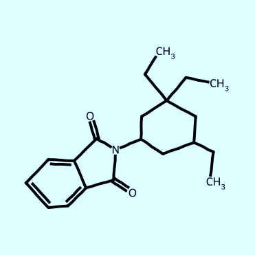 CCC1CC(N2C(=O)c3ccccc3C2=O)CC(CC)(CC)C1